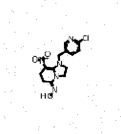 O=[N+]([O-])C1=C2N(Cc3ccc(Cl)nc3)CCN2C(=NO)CC1